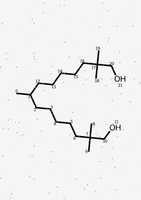 CC(CCCCCC(C)(C)CO)CCCCCC(C)(C)CO